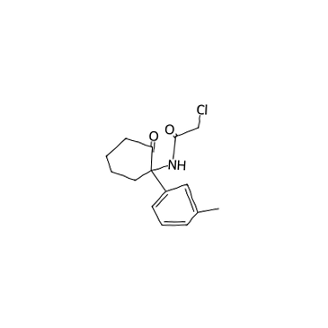 Cc1cccc(C2(NC(=O)CCl)CCCCC2=O)c1